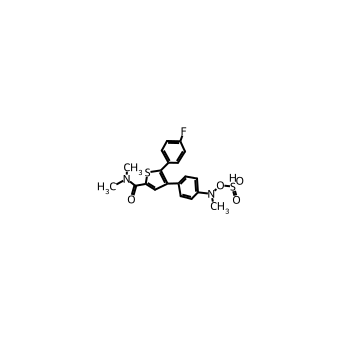 CN(C)C(=O)c1cc(-c2ccc(N(C)O[SH](=O)=O)cc2)c(-c2ccc(F)cc2)s1